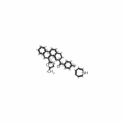 C1=CC=CNC=C1.CC1CN=C(C2=c3c(ccc4c3=CC(C(=O)c3ccc(F)cc3)CC4)-c3ccccc3C2)O1